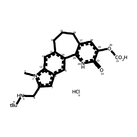 Cl.Cn1c(CNC(C)(C)C)cc2cc3c(cc21)CCCc1cc(OC(=O)O)c(=O)[nH]c1-3